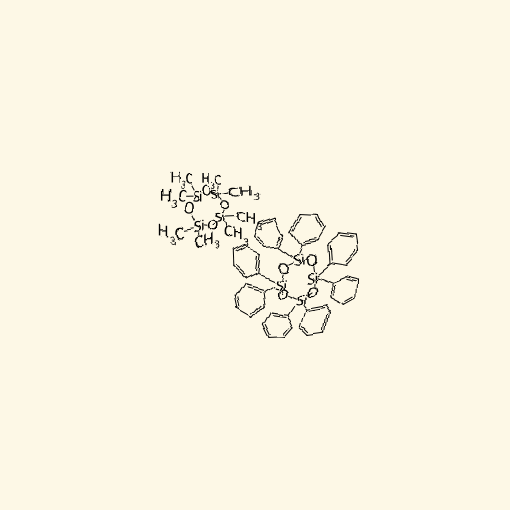 C[Si]1(C)O[Si](C)(C)O[Si](C)(C)O[Si](C)(C)O1.c1ccc([Si]2(c3ccccc3)O[Si](c3ccccc3)(c3ccccc3)O[Si](c3ccccc3)(c3ccccc3)O[Si](c3ccccc3)(c3ccccc3)O2)cc1